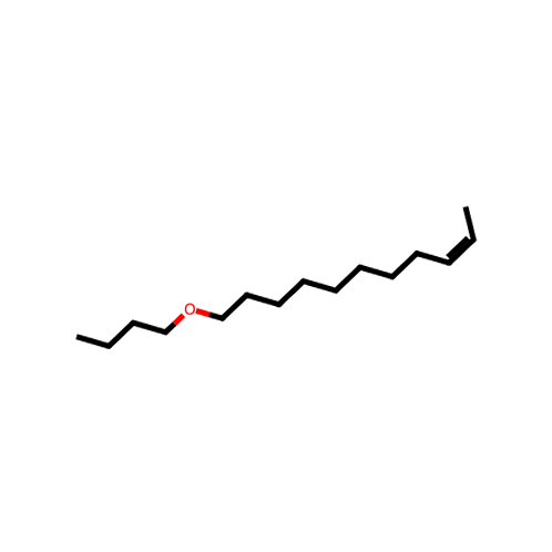 C/C=C\CCCCCCCCOCCCC